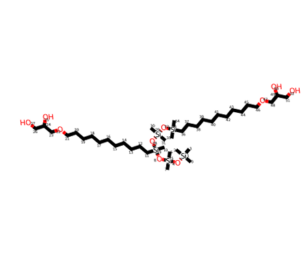 C[Si](C)(C)O[Si](C)(C)O[Si](C)(CCCCCCCCCCCOCC(O)CO)O[Si](C)(C)O[Si](C)(C)CCCCCCCCCCCOCC(O)CO